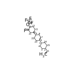 C=CC1CCC(C2=CCC(C3CCC(OC(F)(F)F)C(F)C3)CC2)CC1